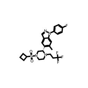 Cc1cc2c(cnn2-c2ccc(F)cc2)cc1[C@H]1CN(S(=O)(=O)C2CCC2)CCN1CCC(F)(F)F